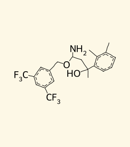 Cc1cccc(C(C)(O)CC(N)OCc2cc(C(F)(F)F)cc(C(F)(F)F)c2)c1C